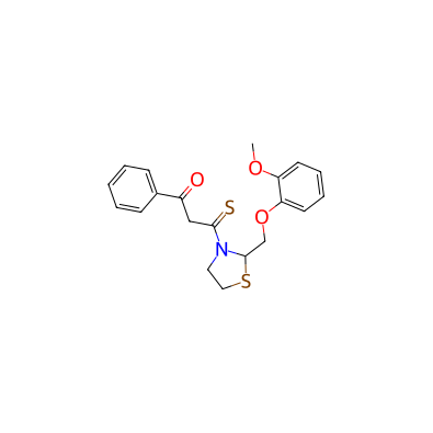 COc1ccccc1OCC1SCCN1C(=S)CC(=O)c1ccccc1